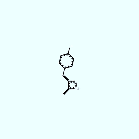 C=c1[nH]s/c1=C\c1ccc(CC)cc1